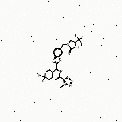 Cn1nnnc1C(=O)NC(c1nc2cc(CN3CC(C(F)(F)F)NC3=O)ccc2o1)C1CCC(F)(F)CC1